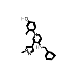 Cc1cc(O)ccc1N1C=C(c2cnn(C)c2)C(NCc2ccccc2)=CC1